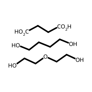 O=C(O)CCC(=O)O.OCCCCO.OCCOCCO